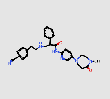 CN1CCN(c2ccc(NC(=O)C(CNCCc3ccc(C#N)cc3)c3ccccc3)nc2)CCC1=O